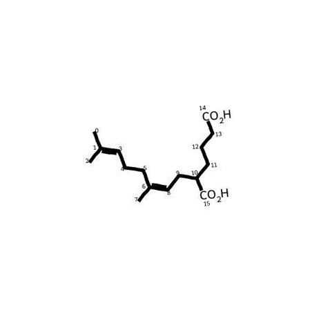 CC(C)=CCCC(C)=CCC(CCCC(=O)O)C(=O)O